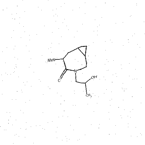 CNC1CC2CC2CN(CC(C)O)C1=O